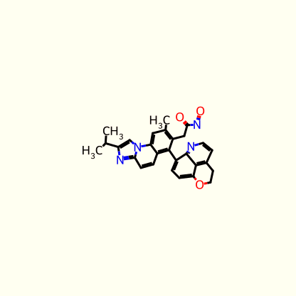 Cc1cc2c(ccc3nc(C(C)C)cn32)c(-c2ccc3c4c(ccnc24)CCO3)c1CC(=O)N=O